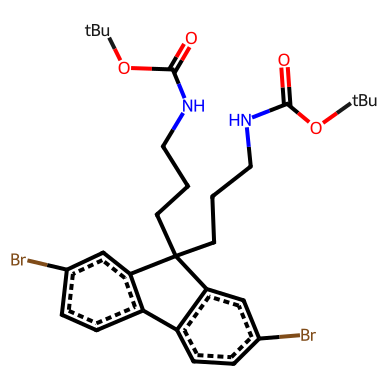 CC(C)(C)OC(=O)NCCCC1(CCCNC(=O)OC(C)(C)C)c2cc(Br)ccc2-c2ccc(Br)cc21